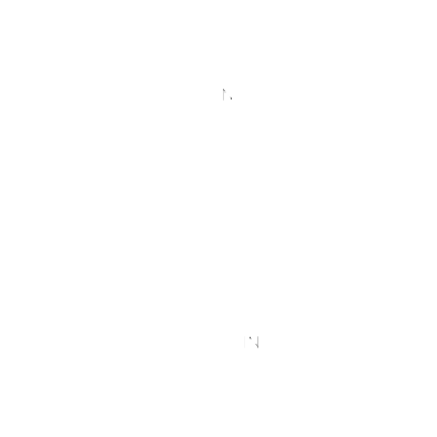 N=CCCc1cccnc1